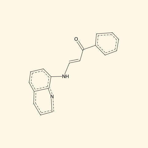 O=C(/C=C/Nc1cccc2cccnc12)c1ccccc1